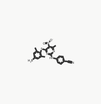 Bc1cc(C)c(Sc2nc(Nc3ccc(C#N)cc3)nc(C)c2[N+](=O)[O-])c(C)c1